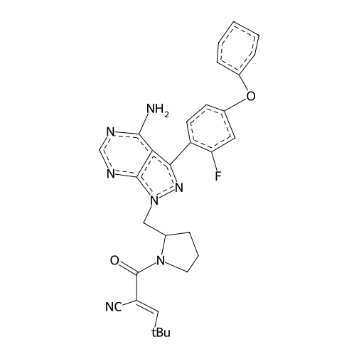 CC(C)(C)C=C(C#N)C(=O)N1CCCC1Cn1nc(-c2ccc(Oc3ccccc3)cc2F)c2c(N)ncnc21